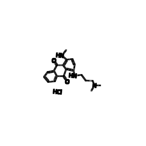 CNc1ccc(NCCCN(C)C)c2c1C(=O)c1ccccc1C2=O.Cl